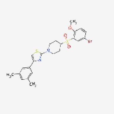 COc1ccc(Br)cc1S(=O)(=O)C1CCN(c2nc(-c3cc(C)cc(C)c3)cs2)CC1